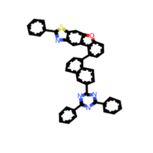 c1ccc(-c2nc(-c3ccccc3)nc(-c3ccc4c(-c5cccc6oc7cc8sc(-c9ccccc9)nc8cc7c56)cccc4c3)n2)cc1